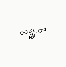 Cc1cccc(OCC2COC(CCc3ccc(Cl)cc3)(Cn3ccnc3)O2)c1